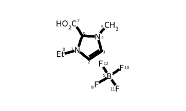 CCN1C=CN(C)C1C(=O)O.F[B-](F)(F)F